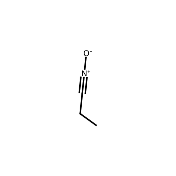 CCC#[N+][O-]